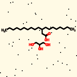 CCCCCCCCCCC(CCCCCCCC)CC(=O)O.OCC(O)CO